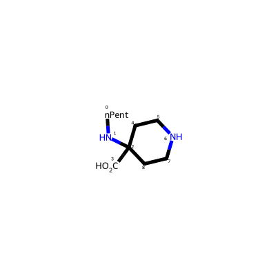 CCCCCNC1(C(=O)O)CCNCC1